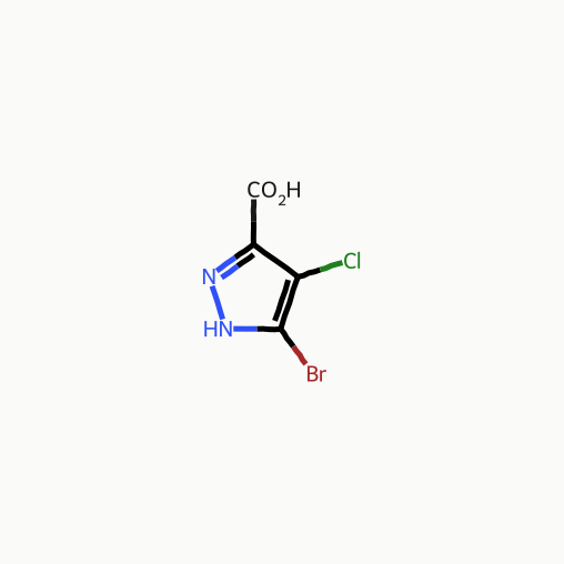 O=C(O)c1n[nH]c(Br)c1Cl